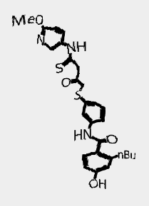 CCCCc1cc(O)ccc1C(=O)Nc1cccc(SCC(=O)CC(=S)Nc2ccc(OC)nc2)c1